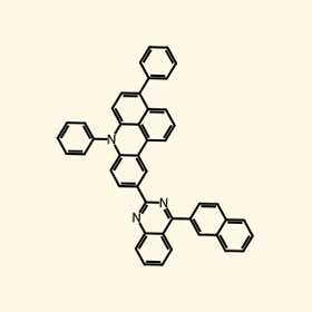 c1ccc(-c2ccc3c4c(cccc24)-c2cc(-c4nc(-c5ccc6ccccc6c5)c5ccccc5n4)ccc2N3c2ccccc2)cc1